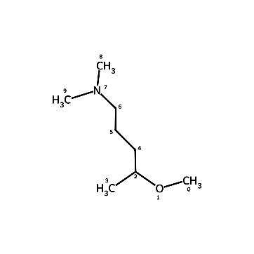 COC(C)CCCN(C)C